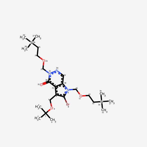 CC(C)(C)OCc1c(Br)n(COCC[Si](C)(C)C)c2cnn(COCC[Si](C)(C)C)c(=O)c12